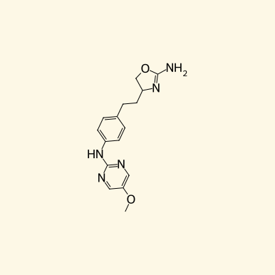 COc1cnc(Nc2ccc(CCC3COC(N)=N3)cc2)nc1